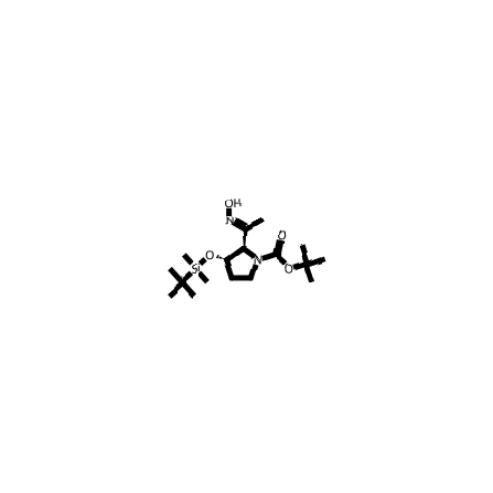 CC(=NO)[C@@H]1[C@@H](O[Si](C)(C)C(C)(C)C)CCN1C(=O)OC(C)(C)C